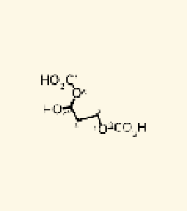 O=C(O)OCCC(O)OC(=O)O